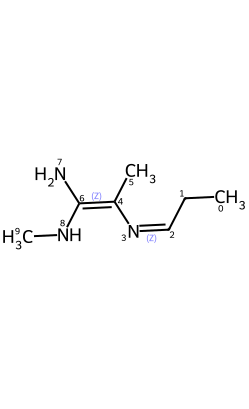 CC/C=N\C(C)=C(\N)NC